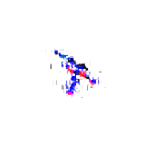 CC(=O)N[C@@H](Cc1ccc2ccccc2c1)C(=O)O.CC(C)C[C@H](N)C(=O)O.C[C@@H](N)C(N)=O.N=C(N)NCCC[C@H](N)C(=O)O.NC(=O)NCCC[C@@H](N)C(=O)Oc1ccc(C[C@H](N)C(=O)OC[C@H](N)C(=O)O)cc1.N[C@@H](Cc1ccc(Cl)cc1)C(=O)O.N[C@@H](Cc1cccnc1)C(=O)O.O=C(O)[C@@H]1CCCN1